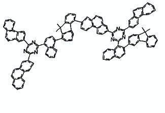 CC1(C)c2ccccc2-c2cc(-c3ccc4ccccc4c3-c3nc(-c4ccc5c(ccc6ccccc65)c4)nc(-c4ccc5c(ccc6cc(-c7cccc8c7-c7cccc(-c9ccc(-c%10nc(-c%11ccc%12c(ccc%13ccccc%13%12)c%11)nc(-c%11ccc%12c(ccc%13ccccc%13%12)c%11)n%10)c%10ccccc9%10)c7C8(C)C)ccc65)c4)n3)ccc21